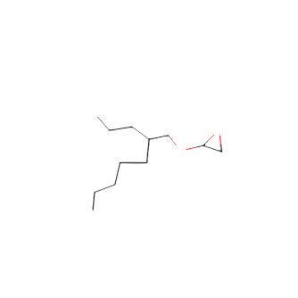 CCCCCC(CCC)COC1CO1